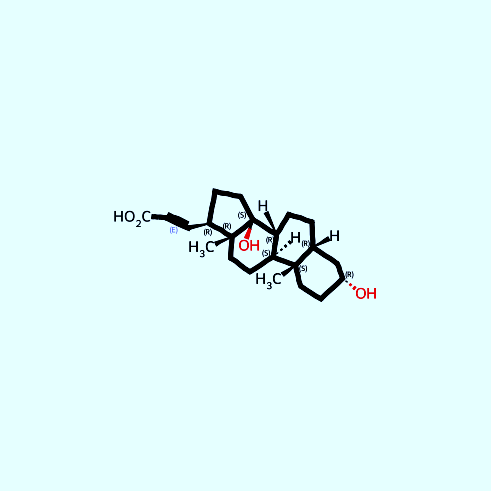 C[C@]12CC[C@@H](O)C[C@H]1CC[C@@H]1[C@@H]2CC[C@]2(C)[C@@H](/C=C/C(=O)O)CC[C@]12O